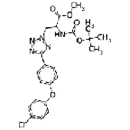 COC(=O)[C@H](Cn1nnc(-c2ccc(Oc3ccc(Cl)cc3)cc2)n1)NC(=O)OC(C)(C)C